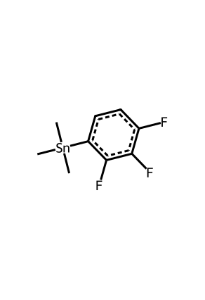 [CH3][Sn]([CH3])([CH3])[c]1ccc(F)c(F)c1F